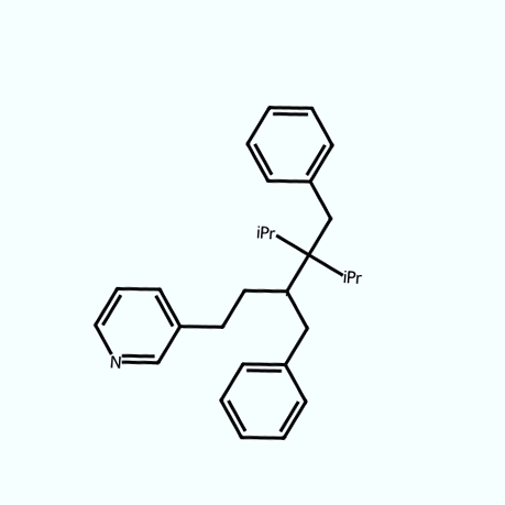 CC(C)C(Cc1ccccc1)([C](CCc1cccnc1)Cc1ccccc1)C(C)C